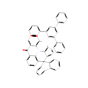 O=c1c2cccc3c2n2c4c(cccc14)C1(c4ccccc4-c4ccccc41)c1cccc(c1-2)B3c1c(-c2ccccc2)cc(-c2ccccc2)cc1-c1ccccc1